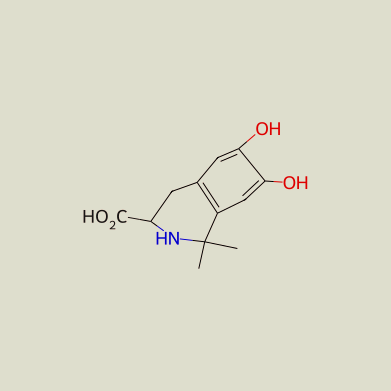 CC1(C)NC(C(=O)O)Cc2cc(O)c(O)cc21